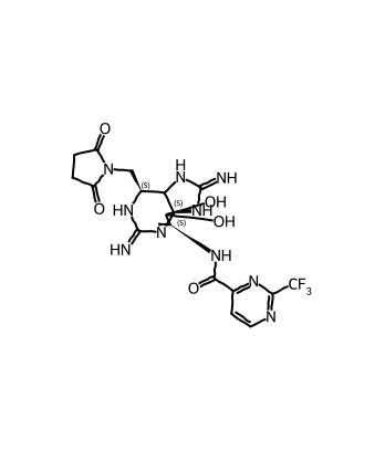 N=C1NC2[C@H](CN3C(=O)CCC3=O)NC(=N)N3C[C@H](NC(=O)c4ccnc(C(F)(F)F)n4)C(O)(O)[C@]23N1